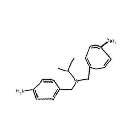 CC(C)N(Cc1ccc(N)cc1)Cc1ccc(N)cc1